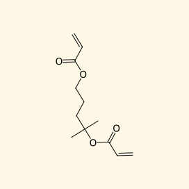 C=CC(=O)OCCCC(C)(C)OC(=O)C=C